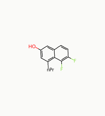 CCCc1cc(O)cc2ccc(F)c(F)c12